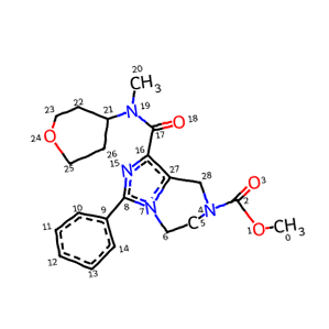 COC(=O)N1CCn2c(-c3ccccc3)nc(C(=O)N(C)C3CCOCC3)c2C1